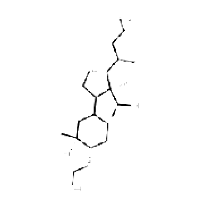 CC[C@]1(C)CC(C2CC[C@H]([C@H](C)CCC(=O)O)[C@@]2(C)[C@H](C)O)CC[C@@H]1CCO